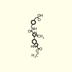 CCOC(=O)c1cc2cc(-c3cc(C(=O)NCc4ccc(CC(=O)O)cc4)nn3C)ccc2[nH]1